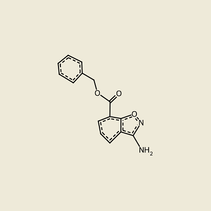 Nc1noc2c(C(=O)OCc3ccccc3)cccc12